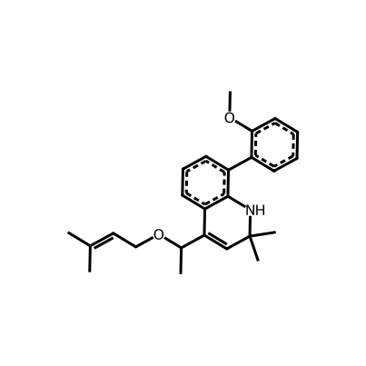 COc1ccccc1-c1cccc2c1NC(C)(C)C=C2C(C)OCC=C(C)C